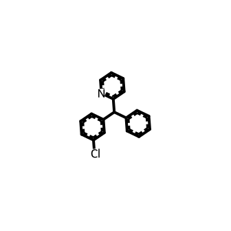 Clc1cccc(C(c2ccccc2)c2ccccn2)c1